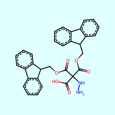 NNC(C(=O)O)(C(=O)OCC1c2ccccc2-c2ccccc21)C(=O)OCC1c2ccccc2-c2ccccc21